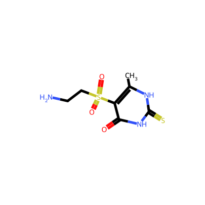 Cc1[nH]c(=S)[nH]c(=O)c1S(=O)(=O)CCN